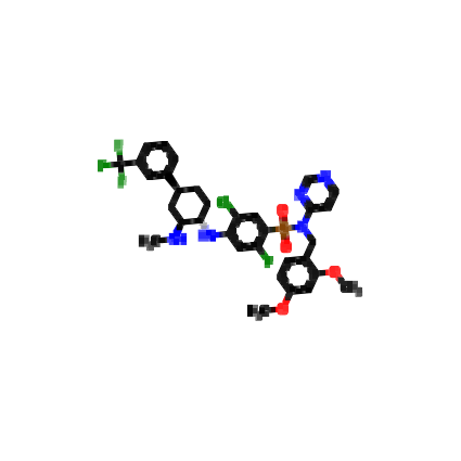 CN[C@H]1C[C@@H](c2cccc(C(F)(F)F)c2)CC[C@@H]1Nc1cc(F)c(S(=O)(=O)N(Cc2ccc(OC)cc2OC)c2ccncn2)cc1Cl